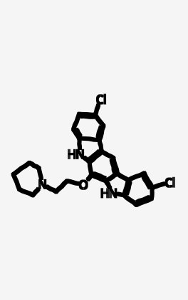 Clc1ccc2[nH]c3c(OCCN4CCCCC4)c4[nH]c5ccc(Cl)cc5c4cc3c2c1